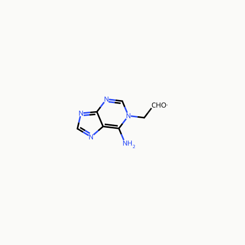 Nc1c2ncnc-2ncn1C[C]=O